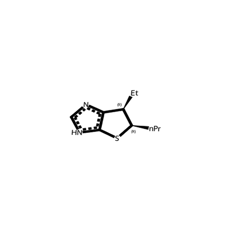 CCC[C@H]1Sc2[nH]cnc2[C@H]1CC